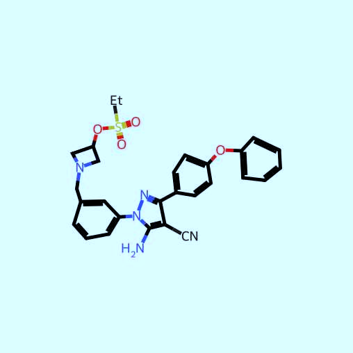 CCS(=O)(=O)OC1CN(Cc2cccc(-n3nc(-c4ccc(Oc5ccccc5)cc4)c(C#N)c3N)c2)C1